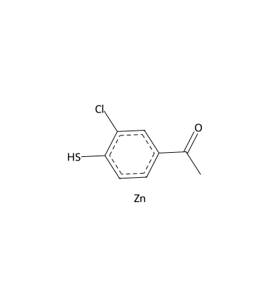 CC(=O)c1ccc(S)c(Cl)c1.[Zn]